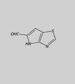 O=Cc1cc2scnc2[nH]1